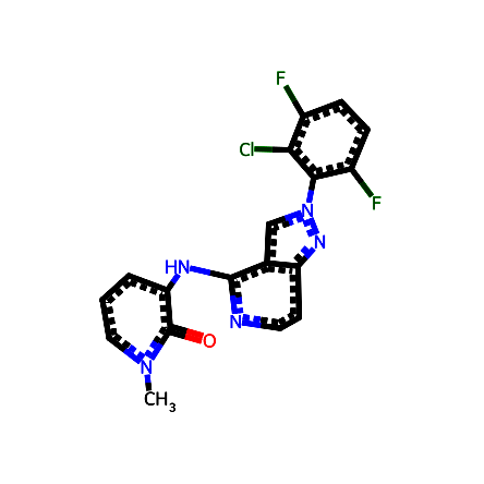 Cn1cccc(Nc2nccc3nn(-c4c(F)ccc(F)c4Cl)cc23)c1=O